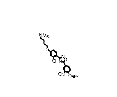 [C-]#[N+]c1cc(-c2nc(-c3ccc(OCCCCNC)cc3Cl)no2)ccc1OC(C)C